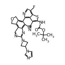 CC(C)(C)OC(=O)Nc1sc2c(F)cnc(-c3c4c(c5cnc(N6CC(n7ccnc7)C6)nc5c3F)COC4)c2c1C#N